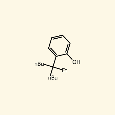 CCCCC(CC)(CCCC)c1ccccc1O